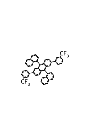 FC(F)(F)c1cccc(-c2ccc3c(-c4cccc5ccccc45)c4cc(-c5cccc(C(F)(F)F)c5)ccc4c(-c4cccc5ccccc45)c3c2)c1